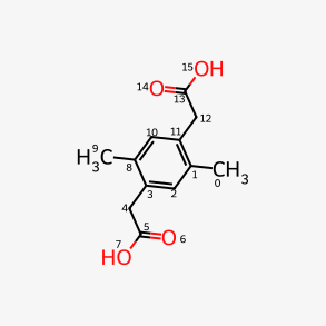 Cc1cc(CC(=O)O)c(C)cc1CC(=O)O